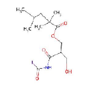 CC(C)CC(C)(C)C(=O)OCC(CO)C(=O)NC(=O)I